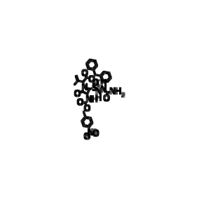 C=C(C)C(C(=O)OC(c1ccccc1)c1ccccc1)N1C(=O)C(NC(=O)OCc2ccc([N+](=O)[O-])cc2)C1[S+]([O-])NNC(N)=O